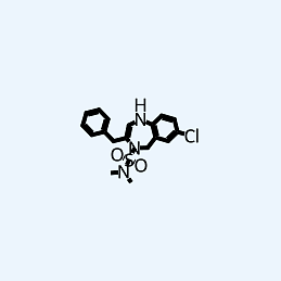 CN(C)S(=O)(=O)N1Cc2cc(Cl)ccc2NC=C1Cc1ccccc1